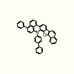 c1ccc(-c2ccc(N(c3ccc(-c4ccccc4)cc3)c3c(-c4ccccc4)ccc4c3oc3c5ccccc5ccc43)cc2)cc1